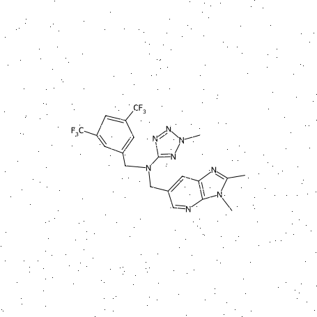 Cc1nc2cc(CN(Cc3cc(C(F)(F)F)cc(C(F)(F)F)c3)c3nnn(C)n3)[c]nc2n1C